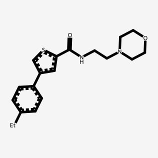 CCc1ccc(-c2csc(C(=O)NCCN3CCOCC3)c2)cc1